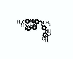 Cc1ccc(NC(=O)c2ccc(CN(C)Cc3ccc(NC4CCC(=O)NC4=O)cc3)cc2)cc1Nc1nccc(-c2cccnc2)n1